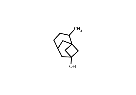 CC1CCC2CC3(O)CC1(C2)C3